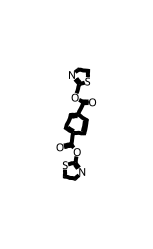 O=C(OC1=NCCS1)c1ccc(C(=O)OC2=NCCS2)cc1